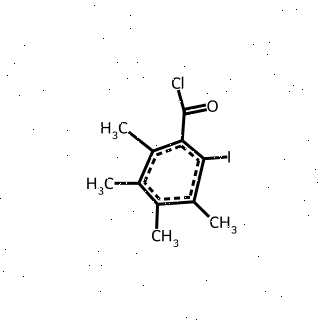 Cc1c(C)c(C)c(C(=O)Cl)c(I)c1C